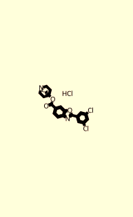 Cl.O=C(OC12CCN(CC1)CC2)c1ccc2nc(-c3cc(Cl)cc(Cl)c3)oc2c1